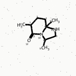 CC1CCC2(C)NCC(C)N2C1=O